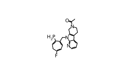 CC(=O)N1CCc2c(n(CC3=CC=C(F)CC=C3P)c3ncccc23)C1